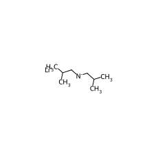 CC(C)C[N-]CC(C)C.[Li+]